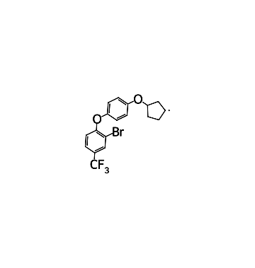 FC(F)(F)c1ccc(Oc2ccc(OC3C[CH]CC3)cc2)c(Br)c1